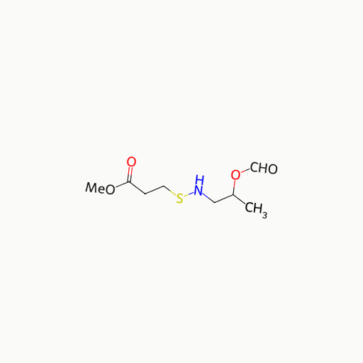 COC(=O)CCSNCC(C)OC=O